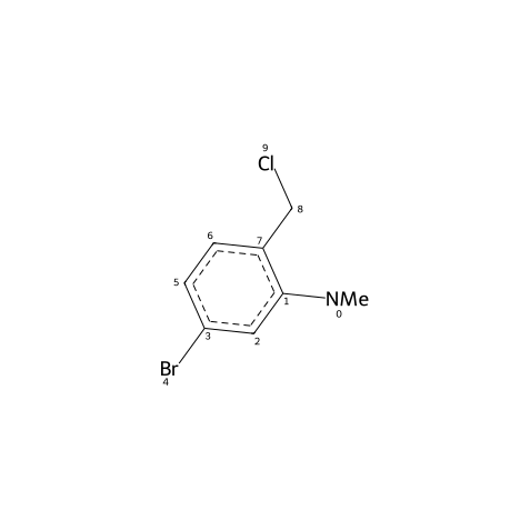 CNc1cc(Br)ccc1CCl